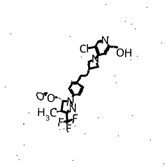 C[C@@H]1C(C(F)(F)F)=NN(c2ccc(CCC3CN(c4cc(CO)ncc4Cl)C3)cc2)[C@H]1COC=O